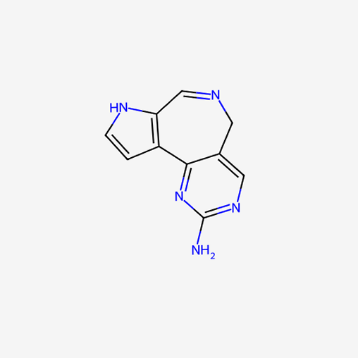 Nc1ncc2c(n1)-c1cc[nH]c1C=NC2